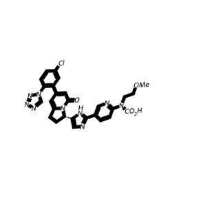 COCCN(C(=O)O)c1ccc(-c2ncc([C@@H]3CCc4cc(-c5cc(Cl)ccc5-n5cnnn5)cc(=O)n43)[nH]2)cn1